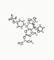 CC1=C(OC(=O)OC(C)C)C(c2ccc(OC(F)(F)F)cc2)C(C)N(C=O)N1c1ccco1